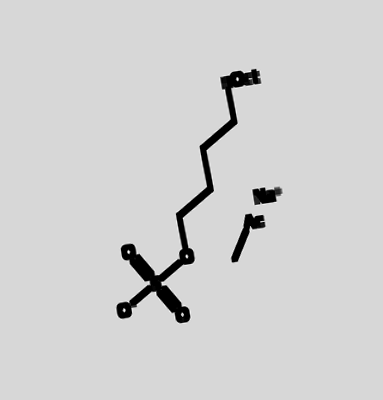 CC(C)=O.CCCCCCCCCCCCOS(=O)(=O)[O-].[Na+]